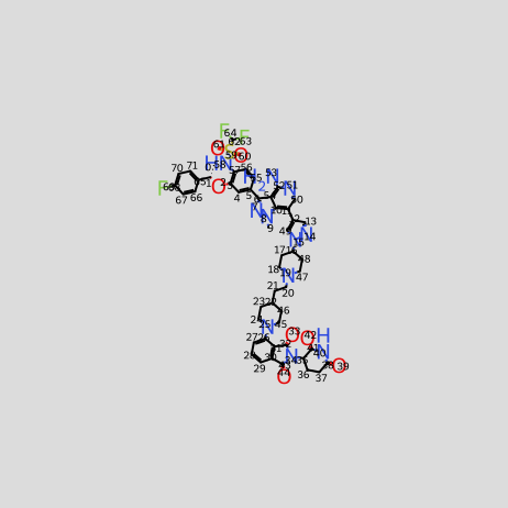 C[C@H](Oc1cc(-c2nn(C)c3c(-c4cnn(C5CCN(CCC6CCN(c7cccc8c7C(=O)N(C7CCC(=O)NC7=O)C8=O)CC6)CC5)c4)cnc(N)c23)ccc1NS(=O)(=O)C(F)F)c1ccc(F)cc1